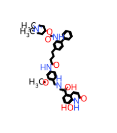 COc1cc(NC(=O)CCCc2ccc(-c3ccccc3)c(NC(=O)OC3CC[N+](C)(C)CC3)c2)ccc1CNC[C@@H](O)c1ccc(O)c2[nH]c(=O)ccc12